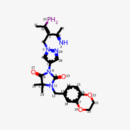 CC(=N)/C(Cn1cc(N2C(=O)N(Cc3ccc4c(c3)OCCO4)C(C)(C)C2=O)cn1)=C(/C)P